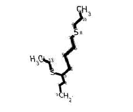 [CH2]CCC(CCCCSCCC)SCC